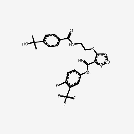 CC(C)(O)c1ccc(C(=O)NCCSc2nonc2C(=N)Nc2ccc(F)c(C(F)(F)F)c2)cc1